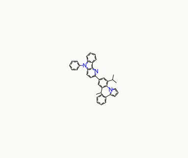 CC(C)c1cc(-c2ccc3c(n2)c2ccccc2n3-c2ccccc2)cc(C(C)C)c1-n1cccc1-c1ccccc1